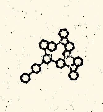 c1ccc(-c2ccc(-c3cc(-c4ccc(-n5c6ccccc6c6cccc(-n7ncc8c7ccc7c9ccccc9n(-c9ccccc9)c78)c65)cc4)nc(-c4ccccc4)n3)cc2)cc1